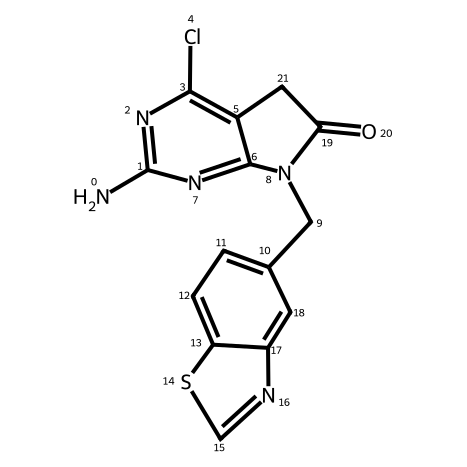 Nc1nc(Cl)c2c(n1)N(Cc1ccc3scnc3c1)C(=O)C2